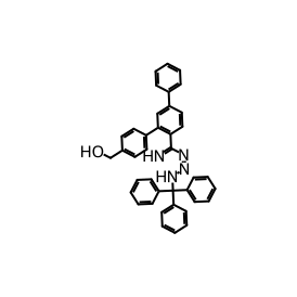 N=C(/N=N\NC(c1ccccc1)(c1ccccc1)c1ccccc1)c1ccc(-c2ccccc2)cc1-c1ccc(CO)cc1